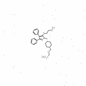 CCOCCSc1c(-c2ccccc2)c(-c2ccccc2)nn1C[C@H]1CC[C@H](COCC(=O)O)CC1